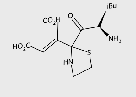 CC[C@H](C)[C@@H](N)C(=O)C1(C(=CC(=O)O)C(=O)O)NCCS1